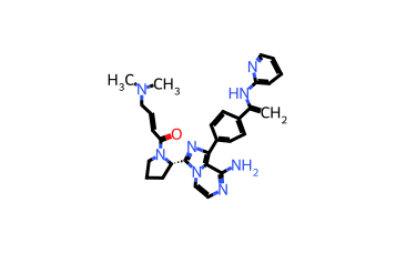 C=C(Nc1ccccn1)c1ccc(-c2nc([C@@H]3CCCN3C(=O)/C=C/CN(C)C)n3ccnc(N)c23)cc1